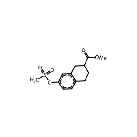 COC(=O)C1CCc2ccc(OS(C)(=O)=O)cc2C1